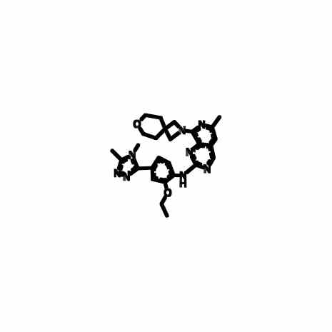 CCOc1cc(-c2nnc(C)n2C)ccc1Nc1ncc2cc(C)nc(N3CC4(CCOCC4)C3)c2n1